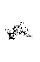 C=CNC/C=C\C(=C/C1(CCC)C=C1C1CC1)N(C)C(=C)C/C=C\C=C(\C)C=C